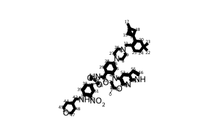 C[C@@H]1CN(c2cc(N3CCN(CC4=C(C56CC(C)(C5)C6)CC(C)(C)CC4)CC3)ccc2C(=O)NS(=O)(=O)c2ccc(NCC3CCOCC3)c([N+](=O)[O-])c2)c2cc3cc[nH]c3nc2O1